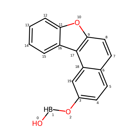 OBOc1ccc2ccc3oc4ccccc4c3c2c1